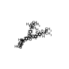 COCC(C)NC(=O)c1ccc(-c2ccc(CC(NC(=O)[C@H]3CC[C@H](CNC(=O)OC(C)(C)C)CC3)C(=O)Nc3ccc(-c4nc(C(F)(F)C(F)(F)C(=O)O)n[nH]4)cc3)cc2)c(C)c1